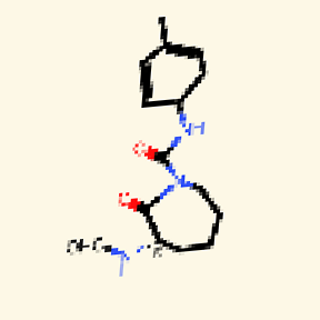 CC1=CCC(NC(=O)N2CCCC[C@H](N[C]=O)C2=O)C=C1